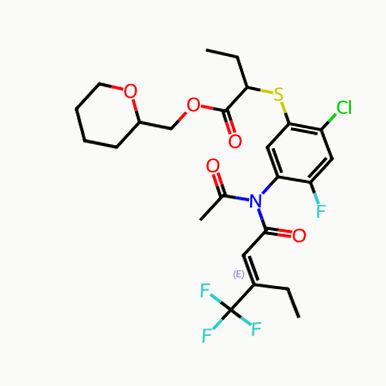 CC/C(=C\C(=O)N(C(C)=O)c1cc(SC(CC)C(=O)OCC2CCCCO2)c(Cl)cc1F)C(F)(F)F